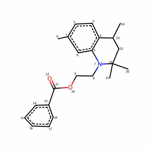 Cc1ccc2c(c1)N(CCOC(=O)c1ccccc1)C(C)(C)CC2C